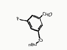 CCCCOc1cc(F)cc(C=O)c1